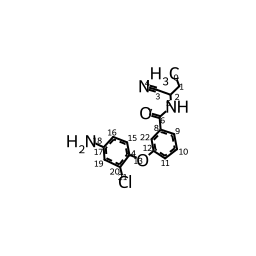 CCC(C#N)NC(=O)c1cccc(Oc2ccc(N)cc2Cl)c1